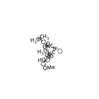 COc1cccc([C@@]2(O)CCCN(S(=O)(=O)N3CCCN(CC4CCCCC4)CCCN(S(=O)(=O)c4ccc(N(C)C)cc4)C[C@H](C)C3)C2)c1